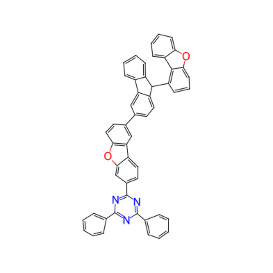 c1ccc(-c2nc(-c3ccccc3)nc(-c3ccc4c(c3)oc3ccc(-c5ccc6c(c5)-c5ccccc5C6c5cccc6oc7ccccc7c56)cc34)n2)cc1